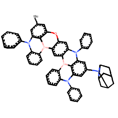 CC(C)(C)c1cc2c3c(c1)N(c1ccccc1)c1ccccc1B3c1cc3c(cc1O2)N(c1ccccc1)c1cc(N2C4CC5CC(C4)CC2C5)cc2c1B3c1ccccc1N2c1ccccc1